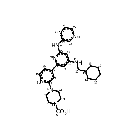 O=C(O)N1CCN(c2cc(-c3cc(NCC4CCCCC4)cc(Nc4cnccn4)n3)ccn2)CC1